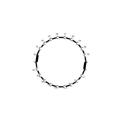 C1=CCCCCCCCCCC=CCCCCCCCCC1